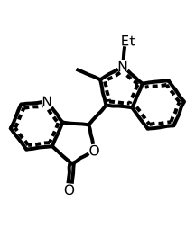 CCn1c(C)c(C2OC(=O)c3cccnc32)c2ccccc21